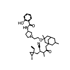 C=C[C@@]1(C[C@@H](C#N)C(C)C(=O)CC23CC(C)CC(C2)CC(C)(OCCN2CC[C@@H](NC(=O)c4ccccc4O)C2)C3)C[C@@H]1C